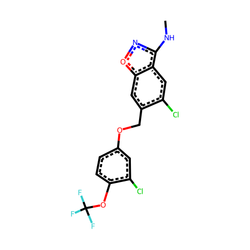 CNc1noc2cc(COc3ccc(OC(F)(F)F)c(Cl)c3)c(Cl)cc12